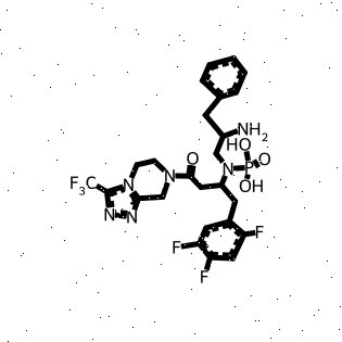 NC(Cc1ccccc1)CN(C(CC(=O)N1CCn2c(nnc2C(F)(F)F)C1)Cc1cc(F)c(F)cc1F)P(=O)(O)O